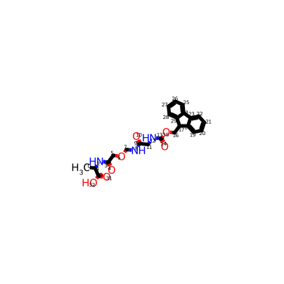 CC(NC(=O)COCNC(=O)CNC(=O)OCC1c2ccccc2-c2ccccc21)C(=O)O